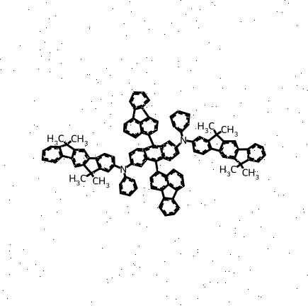 CC1(C)c2ccccc2-c2cc3c(cc21)-c1ccc(N(c2ccccc2)c2ccc4c(-c5ccc6c7c(cccc57)-c5ccccc5-6)c5cc(N(c6ccccc6)c6ccc7c(c6)C(C)(C)c6cc8c(cc6-7)C(C)(C)c6ccccc6-8)ccc5c(-c5ccc6c7c(cccc57)-c5ccccc5-6)c4c2)cc1C3(C)C